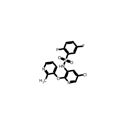 Cc1ncccc1Oc1ncc(Cl)cc1NS(=O)(=O)c1cc(F)ccc1F